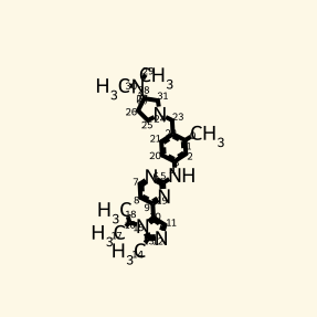 Cc1cc(Nc2nccc(-c3cnc(C)n3C(C)C)n2)ccc1CN1CC[C@@H](N(C)C)C1